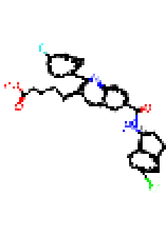 O=C(O)CCCCc1cc2cc(C(=O)N[C@H]3CCc4cc(Cl)ccc43)ccc2nc1-c1ccc(F)cc1